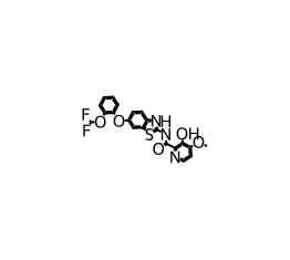 COc1ccnc(C(=O)Nc2nc3ccc(Oc4ccccc4OC(F)F)cc3s2)c1O